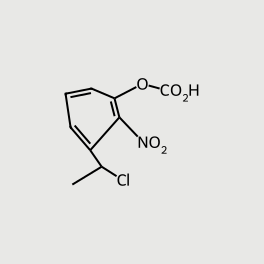 CC(Cl)c1cccc(OC(=O)O)c1[N+](=O)[O-]